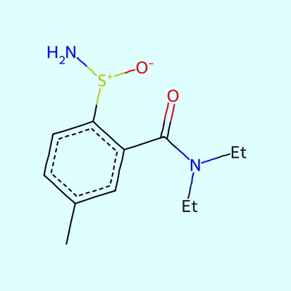 CCN(CC)C(=O)c1cc(C)ccc1[S+](N)[O-]